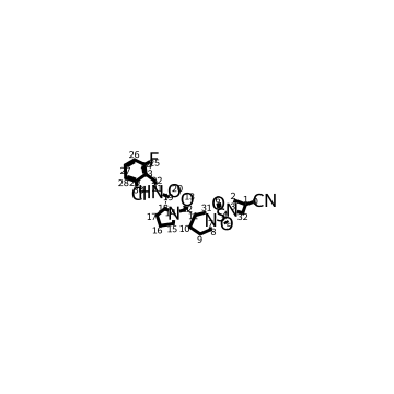 N#CC1CN(S(=O)(=O)N2CCC[C@H](C(=O)N3CCC[C@@H]3C(=O)NCc3c(F)cccc3Cl)C2)C1